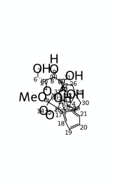 COC1([C@@]2(O)O[C@H](CO)[C@H](O)[C@H](O)[C@H]2O)OOC1(c1ccccc1)C12CC3CC(CC(C3)C1)C2